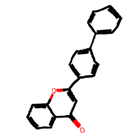 O=c1cc(-c2ccc(-c3ccccc3)cc2)oc2ccccc12